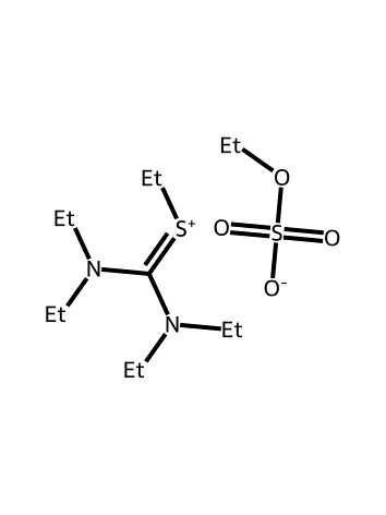 CCOS(=O)(=O)[O-].CC[S+]=C(N(CC)CC)N(CC)CC